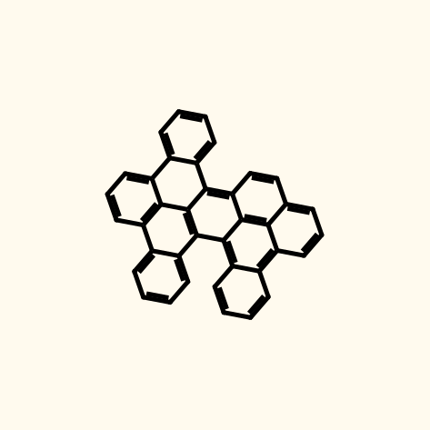 c1ccc2c(c1)c1cccc3c4ccccc4c4c5c6ccccc6c6cccc7ccc(c2c4c13)c5c76